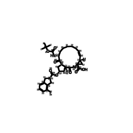 CC(C)(C)OC(=O)N[C@@H]1CCCCC/C=C\[C@@H]2CC2(C(=O)O)NC(=O)[C@@H]2C[C@@H](OC(=O)N3Cc4cccc(F)c4C3)CN2C1=O